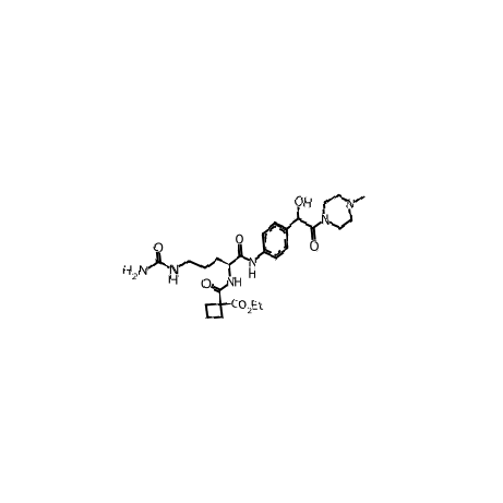 CCOC(=O)C1(C(=O)N[C@@H](CCCNC(N)=O)C(=O)Nc2ccc(C(O)C(=O)N3CCN(C)CC3)cc2)CCC1